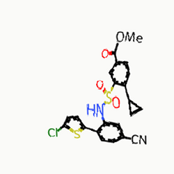 COC(=O)c1ccc(C2CC2)c(S(=O)(=O)Nc2cc(C#N)ccc2-c2ccc(Cl)s2)c1